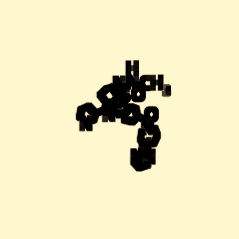 CC(=O)Nc1nc2c(s1)-c1c(c(-c3cccnc3)nn1-c1ccc(C(=O)N3CCCN(c4ncccn4)CC3)cc1Br)CC2